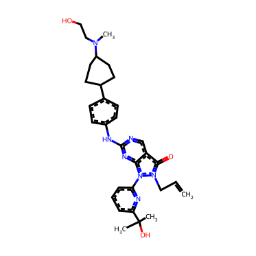 C=CCn1c(=O)c2cnc(Nc3ccc(C4CCC(N(C)CCO)CC4)cc3)nc2n1-c1cccc(C(C)(C)O)n1